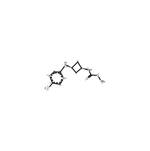 CC(C)(C)OC(=O)N[C@H]1C[C@@H](Nc2cnc(C(F)(F)F)cn2)C1